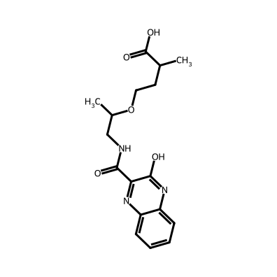 CC(CNC(=O)c1nc2ccccc2nc1O)OCCC(C)C(=O)O